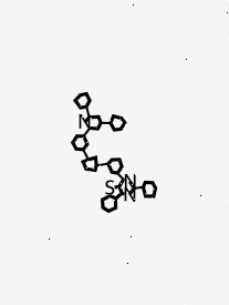 c1ccc(-c2cc(-c3ccccc3)nc(-c3cccc(-c4cccc(-c5cccc(-c6nc(-c7ccccc7)nc7c6sc6ccccc67)c5)c4)c3)c2)cc1